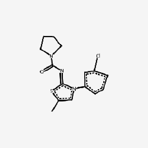 Cc1cn(-c2cccc(Cl)c2)c(=NC(=O)N2CCCC2)s1